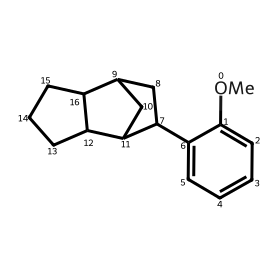 COc1ccccc1C1CC2CC1C1CCCC21